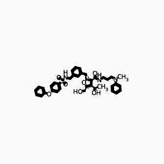 C[C@@H](O)[C@H]1[C@@H](CO)ON(Cc2cccc(CNS(=O)(=O)c3ccc(Oc4ccccc4)cc3)c2)[C@H]1C(=O)NCCCN(C)c1ccccc1